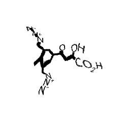 Cc1c(CN=[N+]=[N-])cc(C(=O)/C=C(\O)C(=O)O)cc1CN=[N+]=[N-]